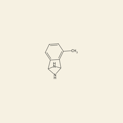 Cc1cccc2c1C1NC2N1